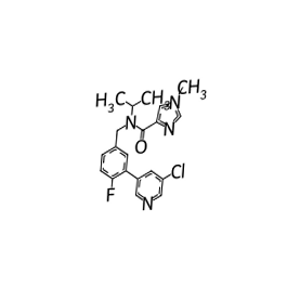 CC(C)N(Cc1ccc(F)c(-c2cncc(Cl)c2)c1)C(=O)c1cn(C)cn1